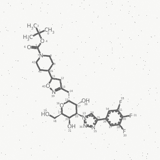 CC(C)(C)OC(=O)N1CCC(C2CC(C[C@H]3O[C@H](CO)[C@H](O)[C@H](n4cc(-c5cc(F)c(F)c(F)c5)nn4)[C@H]3O)=NO2)CC1